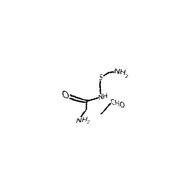 CC=O.NSNC(N)=O